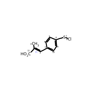 C/C(=C\c1ccc(SCl)cc1)C(=O)O